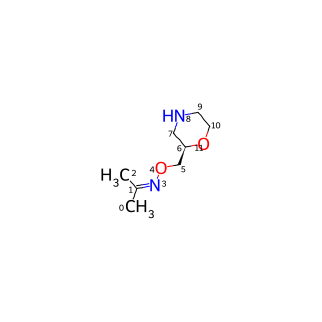 CC(C)=NOC[C@H]1CNCCO1